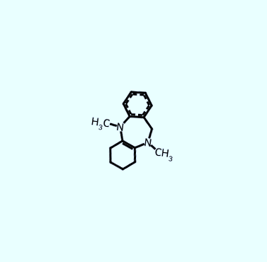 CN1Cc2ccccc2N(C)C2=C1CCCC2